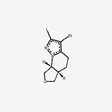 CCc1c(I)nn2c1CC[C@@H]1COC[C@@H]12